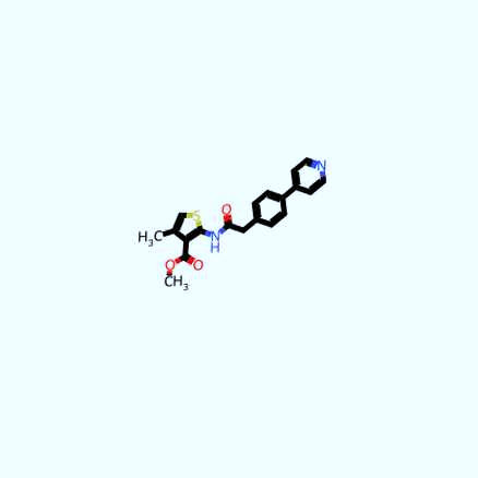 COC(=O)c1c(C)csc1NC(=O)Cc1ccc(-c2ccncc2)cc1